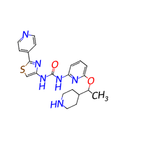 CC(Oc1cccc(NC(=O)Nc2csc(-c3ccncc3)n2)n1)C1CCNCC1